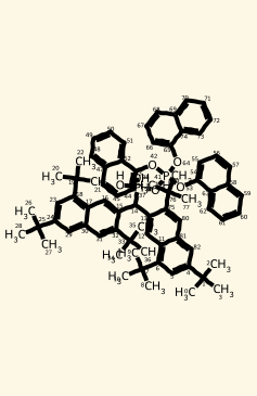 CC(C)(C)c1cc(C(C)(C)C)c2cc(C(c3cc4c(C(C)(C)C)cc(C(C)(C)C)cc4cc3C(C)(C)C)[PH](O)(O)O[PH](Oc3cccc4ccccc34)(Oc3cccc4ccccc34)Oc3cccc4ccccc34)c(C(C)(C)C)cc2c1